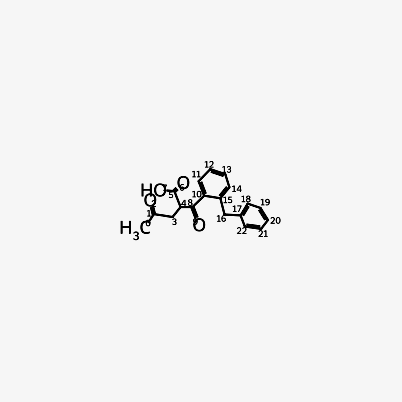 CC(=O)CC(C(=O)O)C(=O)c1ccccc1Cc1ccccc1